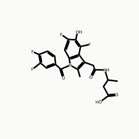 Cc1c(CC(=O)NC(C)CC(=O)O)c2c(F)c(O)c(F)cc2n1C(=O)c1ccc(F)c(F)c1